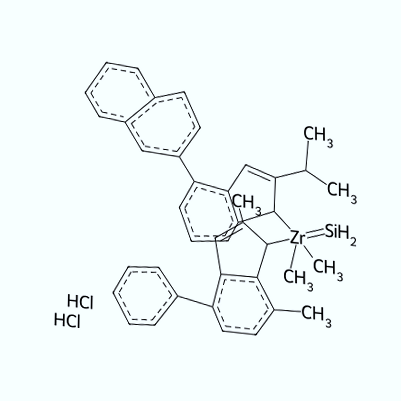 CC1=Cc2c(-c3ccccc3)ccc(C)c2[CH]1[Zr]([CH3])([CH3])(=[SiH2])[CH]1C(C(C)C)=Cc2c(-c3ccc4ccccc4c3)cccc21.Cl.Cl